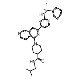 CC(C)CNC(=O)C1CCN(c2nc(-c3ccnc(N[C@H](C)c4ccccc4)c3)cc3cnccc23)CC1